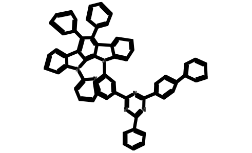 c1ccc(-c2ccc(-c3nc(-c4ccccc4)nc(-c4cccc(-n5c6ccccc6c6c(-c7ccccc7)c(-c7ccccc7)c7c8ccccc8n(-c8ccccn8)c7c65)c4)n3)cc2)cc1